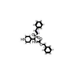 O=C(NC(C1CCNCC1)S(=O)(=O)/C=C/c1ccccc1)OCc1ccccc1